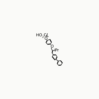 CC(C)/C(=C\c1ccc(-c2ccccc2)cc1)COc1ccc(OC(C)(C)C(=O)O)cc1